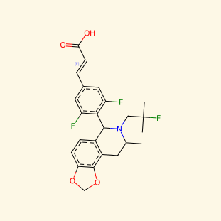 CC1Cc2c(ccc3c2OCO3)C(c2c(F)cc(/C=C/C(=O)O)cc2F)N1CC(C)(C)F